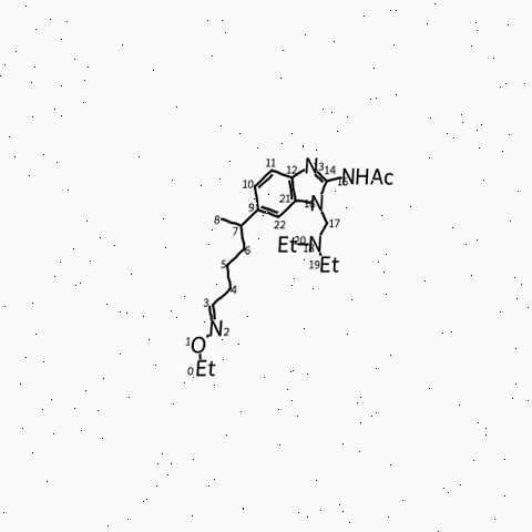 CCON=CCCCC(C)c1ccc2nc(NC(C)=O)n(CN(CC)CC)c2c1